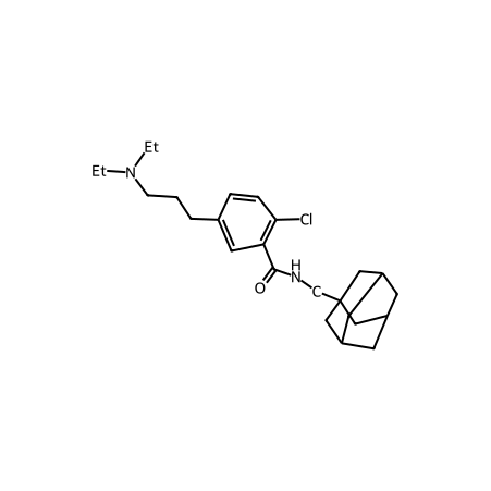 CCN(CC)CCCc1ccc(Cl)c(C(=O)NCC23CC4CC(CC(C4)C2)C3)c1